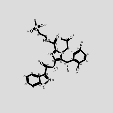 CC(=O)Cn1c(C(=O)NCCS(C)(=O)=O)nc(NC(=O)c2nsc3ccccc23)c1[C@@H](C)c1cc(F)ccc1Cl